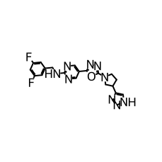 Fc1cc(F)cc(CNc2ncc(-c3nnc(N4CCC(c5c[nH]nn5)C4)o3)cn2)c1